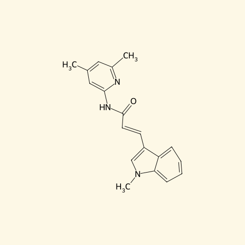 Cc1cc(C)nc(NC(=O)C=Cc2cn(C)c3ccccc23)c1